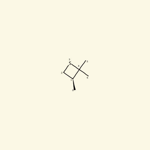 C[C@H]1CSC1(C)C